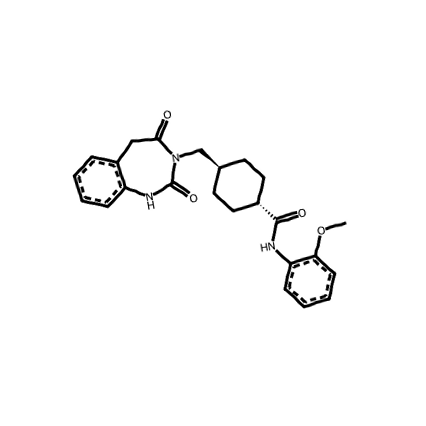 COc1ccccc1NC(=O)[C@H]1CC[C@H](CN2C(=O)Cc3ccccc3NC2=O)CC1